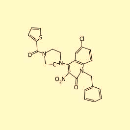 O=C(c1cccs1)N1CCN(c2c([N+](=O)[O-])c(=O)n(Cc3ccccc3)c3ccc(Cl)cc23)CC1